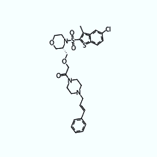 Cc1c(S(=O)(=O)N2CCOC[C@H]2COCC(=O)N2CCN(C/C=C/c3ccccc3)CC2)sc2ccc(Cl)cc12